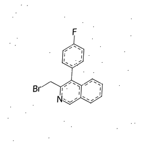 Fc1ccc(-c2c(CBr)ncc3ccccc23)cc1